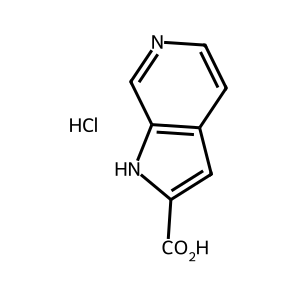 Cl.O=C(O)c1cc2ccncc2[nH]1